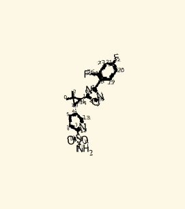 CC1(C)[C@@H](c2ccc(S(N)(=O)=O)nc2)[C@@H]1c1nc(-c2ccc(F)cc2F)no1